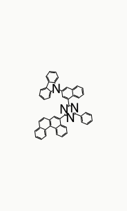 c1ccc(-c2nc(-c3cc(-n4c5ccccc5c5ccccc54)cc4ccccc34)nc(-c3cc4ccc5ccccc5c4c4ccccc34)n2)cc1